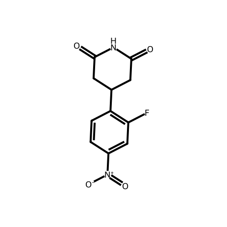 O=C1CC(c2ccc([N+](=O)[O-])cc2F)CC(=O)N1